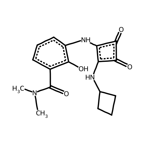 CN(C)C(=O)c1cccc(Nc2c(NC3CCC3)c(=O)c2=O)c1O